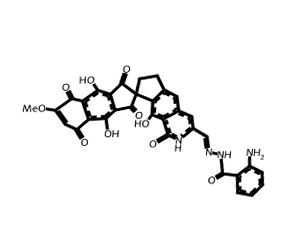 COC1=CC(=O)c2c(O)c3c(c(O)c2C1=O)C(=O)C1(CCc2cc4cc(/C=N/NC(=O)c5ccccc5N)[nH]c(=O)c4c(O)c21)C3=O